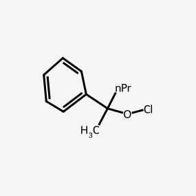 CCCC(C)(OCl)c1ccccc1